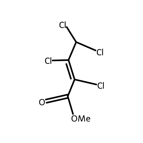 COC(=O)/C(Cl)=C(\Cl)C(Cl)Cl